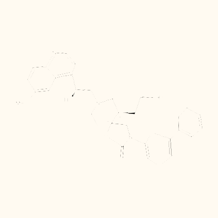 COc1ccc2nccc([C@H](O)CN3CC[C@@]4(CN(C5=COC=C(C6=CC=CCC6)O5)C(=O)O4)[C@H](CCO)C3)c2c1